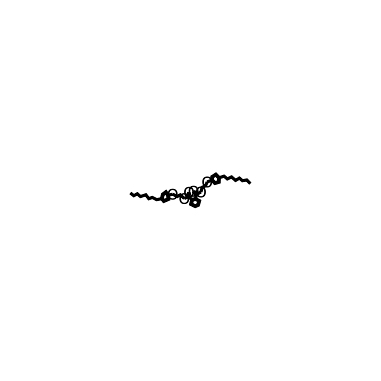 CCCCCCCCc1ccc(OCCOC(=O)c2ccccc2C(=O)OCCOc2ccc(CCCCCCCC)cc2)cc1